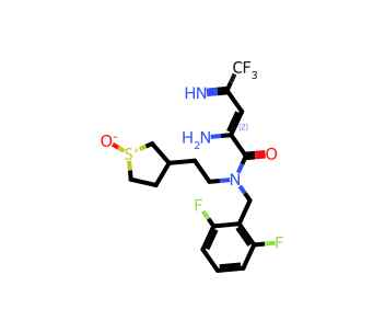 N=C(/C=C(\N)C(=O)N(CCC1CC[S+]([O-])C1)Cc1c(F)cccc1F)C(F)(F)F